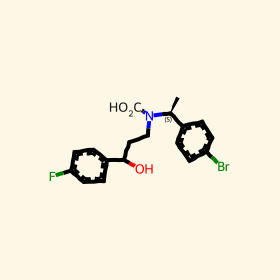 C[C@@H](c1ccc(Br)cc1)N(CCC(O)c1ccc(F)cc1)C(=O)O